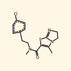 CC1=C(C(=O)N(C)CCc2ccc(Cl)cc2)SC2=NCCN21